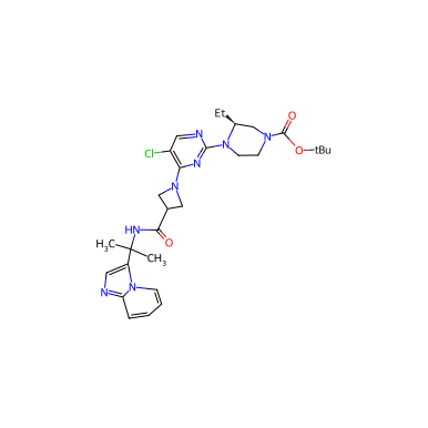 CC[C@H]1CN(C(=O)OC(C)(C)C)CCN1c1ncc(Cl)c(N2CC(C(=O)NC(C)(C)c3cnc4ccccn34)C2)n1